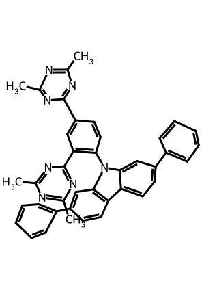 Cc1nc(C)nc(-c2ccc(-n3c4cc(-c5ccccc5)ccc4c4ccc(-c5ccccc5)cc43)c(-c3nc(C)nc(C)n3)c2)n1